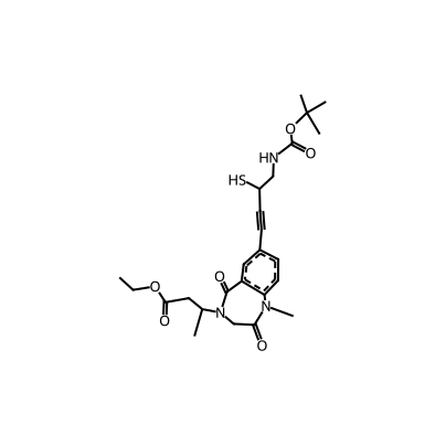 CCOC(=O)CC(C)N1CC(=O)N(C)c2ccc(C#CC(S)CNC(=O)OC(C)(C)C)cc2C1=O